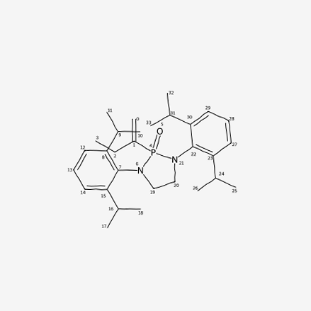 C=C(CC)P1(=O)N(c2c(C(C)C)cccc2C(C)C)CCN1c1c(C(C)C)cccc1C(C)C